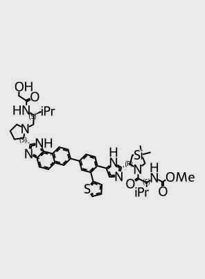 COC(=O)N[C@H](C(=O)N1C[Si](C)(C)C[C@H]1c1ncc(-c2ccc(-c3ccc4c(ccc5nc([C@@H]6CCCN6C[C@@H](NC(=O)CO)C(C)C)[nH]c54)c3)cc2-c2cccs2)[nH]1)C(C)C